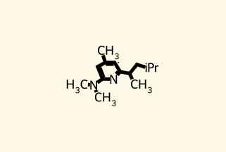 Cc1[c]c(C(C)CC(C)C)nc(N(C)C)c1